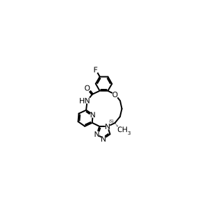 C[C@H]1CCCOc2ccc(F)cc2C(=O)Nc2cccc(n2)-c2nncn21